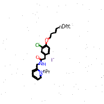 CCCCCCCCCCCCCCOc1ccc(CC(=O)NCc2cccc[n+]2CCC)cc1Cl.[I-]